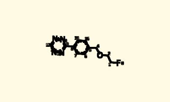 FCCOCc1ccc(-c2nncnn2)cc1